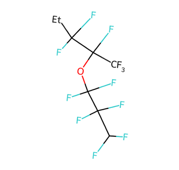 CCC(F)(F)C(F)(OC(F)(F)C(F)(F)C(F)F)C(F)(F)F